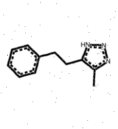 [CH2]c1nn[nH]c1CCc1ccccc1